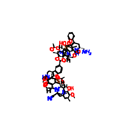 COc1c(C)cc2c(c1O)C1[C@@H]3[C@@H]4SC[C@]5(N[C@@H](CN)Cc6c5oc5ccccc65)C(=O)OC[C@@H](c5c6c(c(C)c(OC(C)=O)c54)OC(c4ccc5oc7c(c5c4)CCN[C@]74CS[C@@H]5c7c(OC(C)=O)c(C)c8c(c7[C@H](COC4=O)N4[C@@H]5[C@@H]5c7c(cc(C)c(OC)c7O)CC4(C#N)CN5C)OCO8)O6)N3C(C)(C2)CN1C